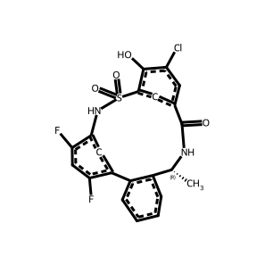 C[C@H]1NC(=O)c2cc(Cl)c(O)c(c2)S(=O)(=O)Nc2cc(c(F)cc2F)-c2ccccc21